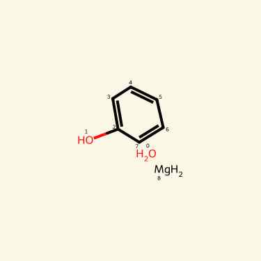 O.Oc1ccccc1.[MgH2]